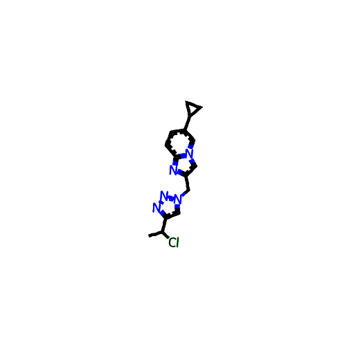 CC(Cl)c1cn(Cc2cn3cc(C4CC4)ccc3n2)nn1